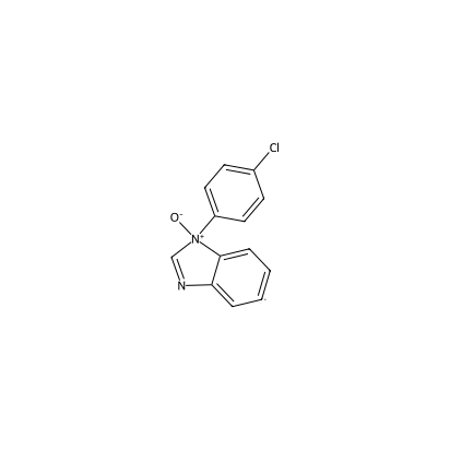 [O-][N+]1(c2ccc(Cl)cc2)C=Nc2c[c]ccc21